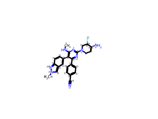 CNc1nc(N2CC[C@H](N)[C@H](F)C2)nc(-c2ccc(C#N)cc2)c1-c1ccc2nn(C)cc2c1